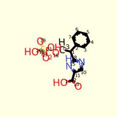 CC(c1ccccc1)c1ncc(C(=O)O)[nH]1.O.O=S(=O)(O)O